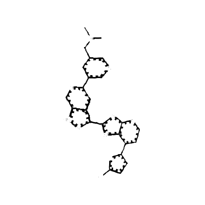 CC(=O)c1ccc(-c2ccnc3[nH]c(-c4n[nH]c5cnc(-c6cncc(CN(C)C)c6)cc45)nc23)s1